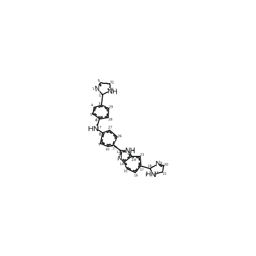 C1=NC(c2ccc(Nc3ccc(-c4nc5ccc(C6N=CCN6)cc5[nH]4)cc3)cc2)NC1